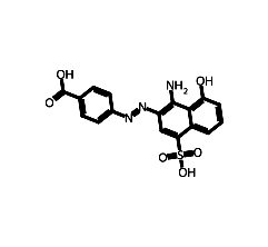 Nc1c(/N=N/c2ccc(C(=O)O)cc2)cc(S(=O)(=O)O)c2cccc(O)c12